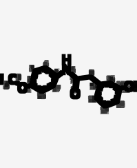 COc1ccc(NC(=O)Cc2cccc(O)c2)cc1